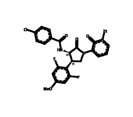 CCn1cccc(N2C[C@@H](c3c(F)cc(OC)cc3F)[C@H](NC(=O)c3ccc(Cl)cc3)C2=O)c1=O